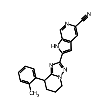 Cc1ccccc1C1CCCn2nc(-c3cc4cc(C#N)ncc4[nH]3)nc21